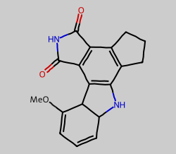 COC1=CC=CC2Nc3c4c(c5c(c3C12)C(=O)NC5=O)CCC4